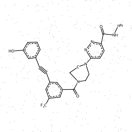 CCCNC(=O)c1ccc(N2CCN(C(=O)c3cc(C#Cc4cccc(O)c4)cc(C(F)(F)F)c3)CC2)nn1